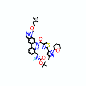 Cc1cc(-c2nc(C(=O)Nc3cc4c(cnn4COCC[Si](C)(C)C)cc3-c3cccc(CN(F)C(=O)OC(C)(C)C)c3)cs2)n(C2CCCCO2)n1